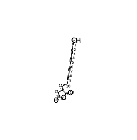 C#CC#CC#CC#CC#C/C=C/C1CC(=O)OC1=O